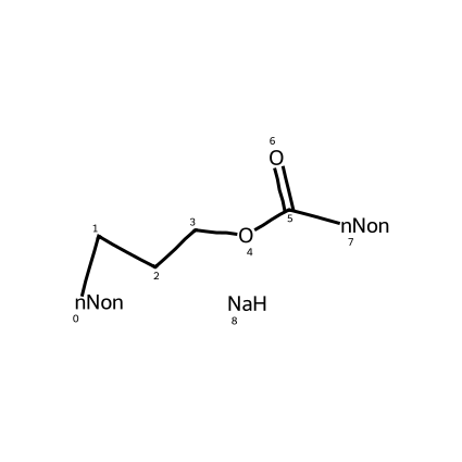 CCCCCCCCCCCCOC(=O)CCCCCCCCC.[NaH]